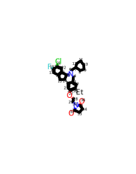 CCc1cc(CN(CC2CCCCC2)C2CCc3cc(F)c(Cl)cc32)ccc1OCCN1C(=O)CCC1=O